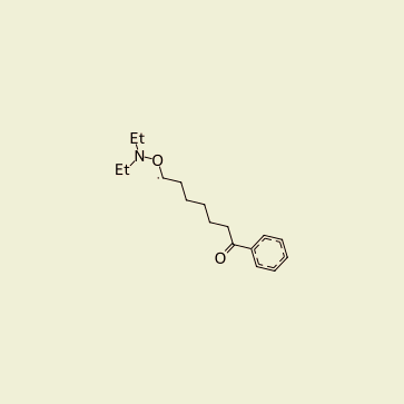 CCN(CC)O[CH]CCCCCC(=O)c1ccccc1